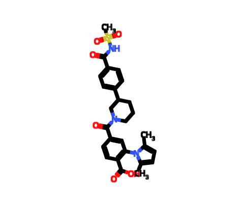 Cc1ccc(C)n1-c1cc(C(=O)N2CCCC(c3ccc(C(=O)NS(C)(=O)=O)cc3)C2)ccc1C(=O)O